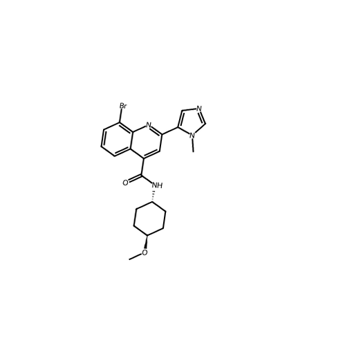 CO[C@H]1CC[C@H](NC(=O)c2cc(-c3cncn3C)nc3c(Br)cccc23)CC1